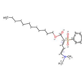 CCCCCCCCCCCCOC(=O)/C(=C/C=C/N(C)C)S(=O)(=O)c1ccccc1